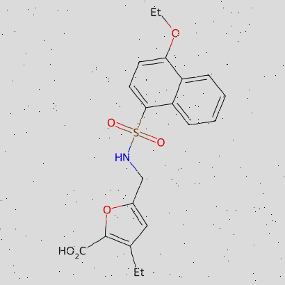 CCOc1ccc(S(=O)(=O)NCc2cc(CC)c(C(=O)O)o2)c2ccccc12